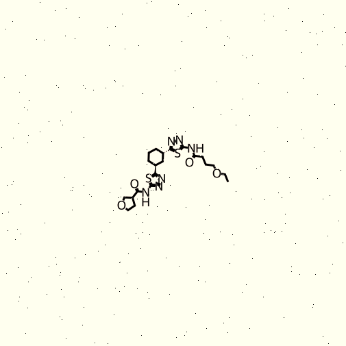 CCOCCCC(=O)Nc1nnc([C@H]2CCC[C@H](c3nnc(NC(=O)C4CCOC4)s3)C2)s1